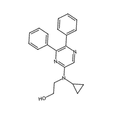 OCCN(c1cnc(-c2ccccc2)c(-c2ccccc2)n1)C1CC1